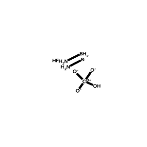 BN.F.[B]N.[O-][Cl+3]([O-])([O-])O